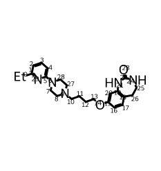 CCc1cccc(N2CCN(CCCCOc3ccc4c(c3)NC(=O)NCC4)CC2)n1